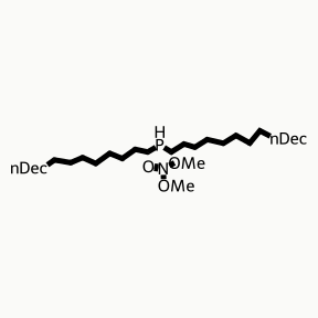 CCCCCCCCCCCCCCCCCCPCCCCCCCCCCCCCCCCCC.CO[N+](=O)OC